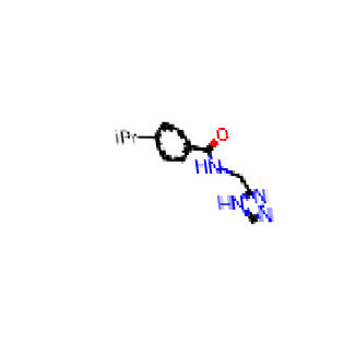 CC(C)c1ccc(C(=O)NCc2nnc[nH]2)cc1